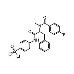 CN(C(=O)c1ccc(F)cc1)C(Cc1ccccc1)C(=O)Nc1ccc(S(=O)(=O)Cl)cc1